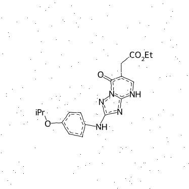 CCOC(=O)Cc1c[nH]c2nc(Nc3ccc(OC(C)C)cc3)nn2c1=O